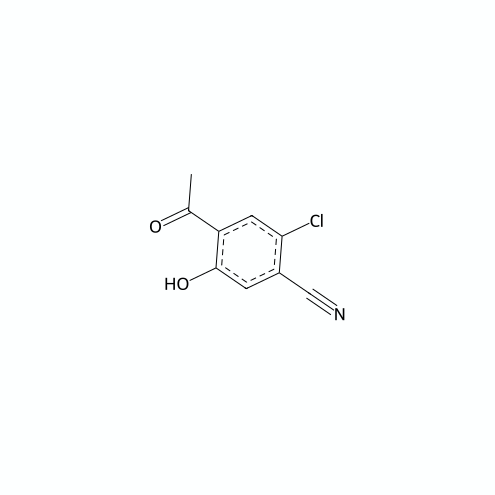 CC(=O)c1cc(Cl)c(C#N)cc1O